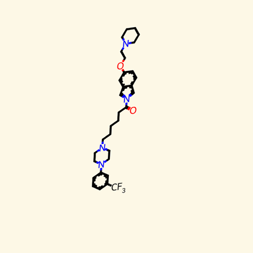 O=C(CCCCCN1CCN(c2cccc(C(F)(F)F)c2)CC1)n1cc2ccc(OCCN3CCCCC3)cc2c1